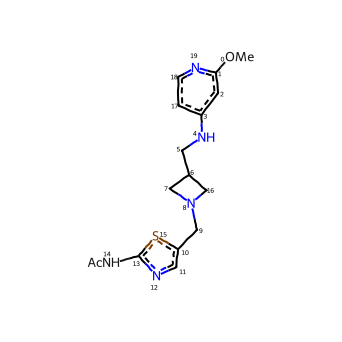 COc1cc(NCC2CN(Cc3cnc(NC(C)=O)s3)C2)ccn1